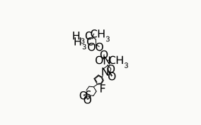 CN(C(=O)OCOC(=O)CC(C)(C)C)[C@@H]1CN(c2ccc(C3CCS(=O)(=O)CC3)c(F)c2)C(=O)O1